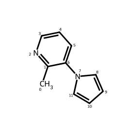 Cc1ncccc1-n1cccc1